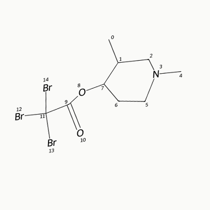 CC1CN(C)CCC1OC(=O)C(Br)(Br)Br